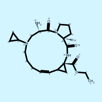 CCOC(=O)[C@@]12CC1/C=C\CCCN(C1CC1)C[C@H](N)C(=O)N1CCC[C@H]1C(=O)N2